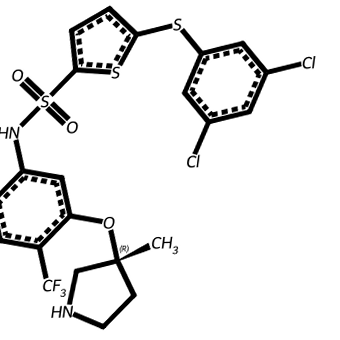 C[C@@]1(Oc2cc(NS(=O)(=O)c3ccc(Sc4cc(Cl)cc(Cl)c4)s3)ccc2C(F)(F)F)CCNC1